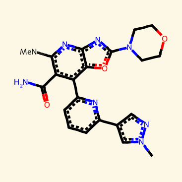 CNc1nc2nc(N3CCOCC3)oc2c(-c2cccc(-c3cnn(C)c3)n2)c1C(N)=O